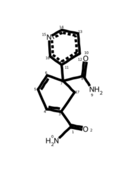 NC(=O)C1=CC=CC(C(N)=O)(c2cccnc2)C1